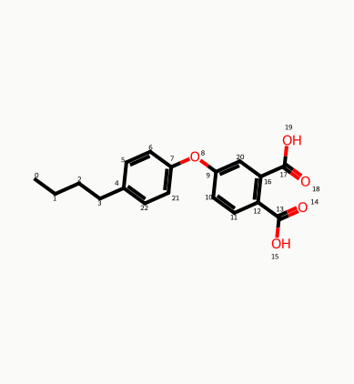 CCCCc1ccc(Oc2ccc(C(=O)O)c(C(=O)O)c2)cc1